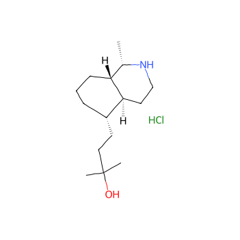 C[C@@H]1NCC[C@H]2[C@H](CCC(C)(C)O)CCC[C@@H]21.Cl